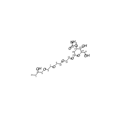 CCC(O)COCCOCCOCCOC1CC(OC(N)=O)C(O)C(CO)O1